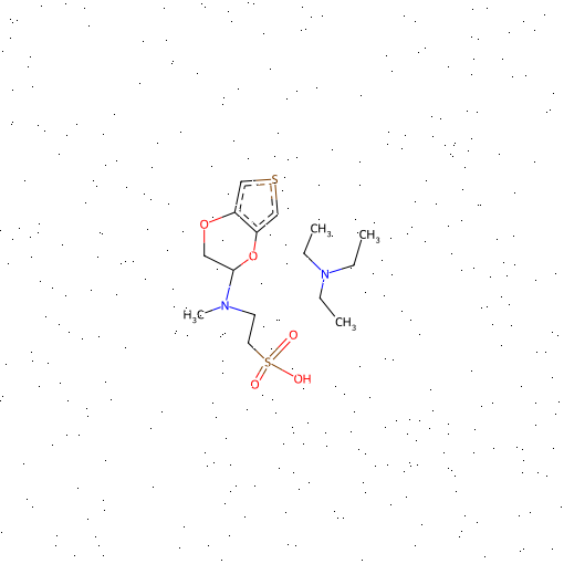 CCN(CC)CC.CN(CCS(=O)(=O)O)C1COc2cscc2O1